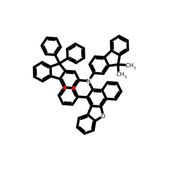 CC1(C)c2ccccc2-c2ccc(N(c3ccc4c(c3)C(c3ccccc3)(c3ccccc3)c3ccccc3-4)c3c(-c4ccccc4)c4c5ccccc5oc4c4ccccc34)cc21